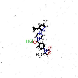 C[C@@H]1COC(=O)N1c1ccc(C(=O)N2CCN(c3ncc(C(F)(F)F)cc3C3CC3)CC2)cc1.Cl